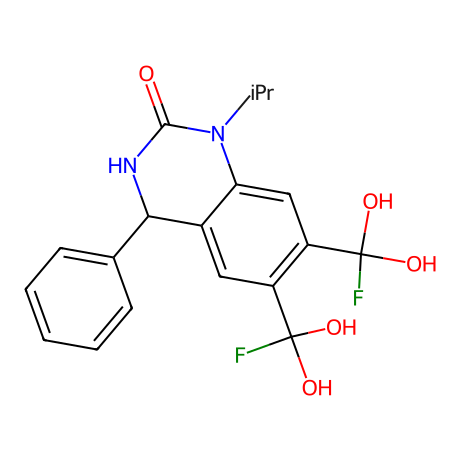 CC(C)N1C(=O)NC(c2ccccc2)c2cc(C(O)(O)F)c(C(O)(O)F)cc21